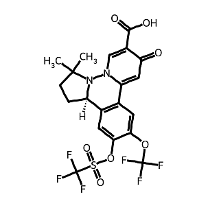 CC1(C)CC[C@@H]2c3cc(OS(=O)(=O)C(F)(F)F)c(OC(F)(F)F)cc3-c3cc(=O)c(C(=O)O)cn3N21